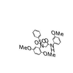 COc1cccc(NC(=O)CN(c2cc(OC)ccc2OC)S(=O)(=O)c2ccccc2)c1